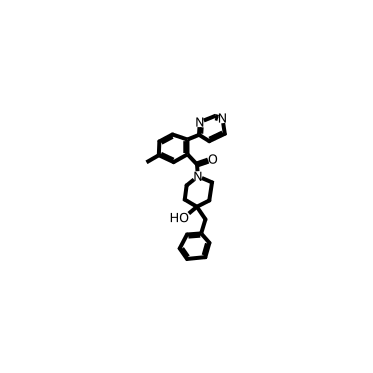 Cc1ccc(-c2ccncn2)c(C(=O)N2CCC(O)(Cc3ccccc3)CC2)c1